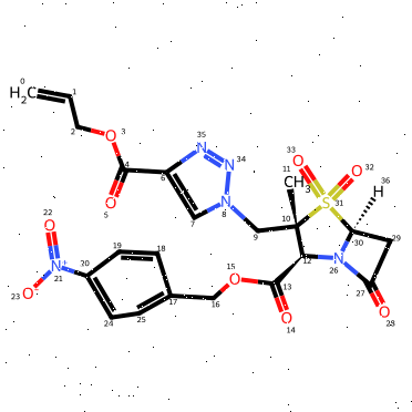 C=CCOC(=O)c1cn(C[C@@]2(C)[C@H](C(=O)OCc3ccc([N+](=O)[O-])cc3)N3C(=O)C[C@@H]3S2(=O)=O)nn1